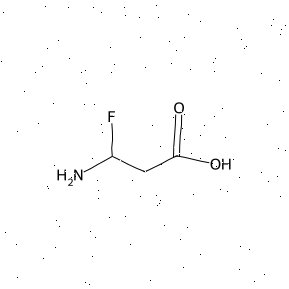 NC(F)CC(=O)O